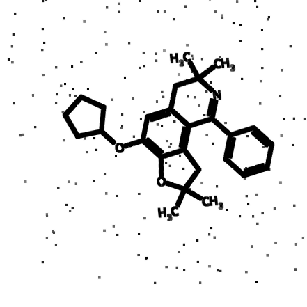 CC1(C)Cc2cc(OC3CCCC3)c3c(c2C(c2ccccc2)=N1)CC(C)(C)O3